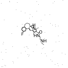 CCNCCNC(=O)c1c(C)[nH]c(/C=C2\C(=O)CCCc3ccc(F)cc32)c1C